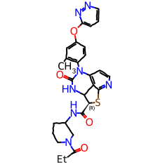 CCC(=O)N1CCCC(NC(=O)[C@@H]2Sc3nccc4c3C2NC(=O)N4c2ccc(Oc3cccnn3)cc2C)C1